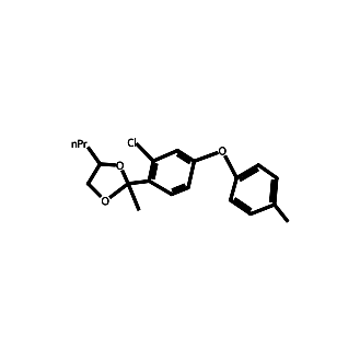 CCCC1COC(C)(c2ccc(Oc3ccc(C)cc3)cc2Cl)O1